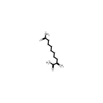 C=C(CCCCCCCC(N)=O)C(N)=O